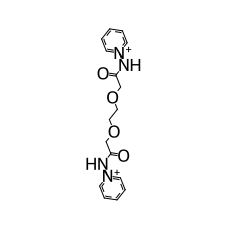 O=C(COCCOCC(=O)N[n+]1ccccc1)N[n+]1ccccc1